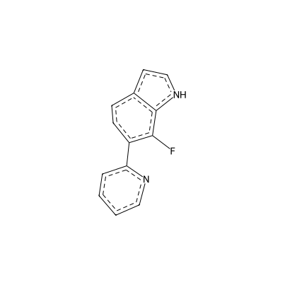 Fc1c(-c2ccccn2)ccc2cc[nH]c12